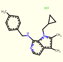 Cc1ccc(CNc2nccc3c(C)c(C)n(CC4CC4)c23)cc1.Cl